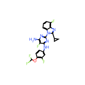 Nc1nc(-n2c(C3CC3)nc3c(F)cccc32)nc(Nc2ccc(OC(F)F)c(F)c2)c1F